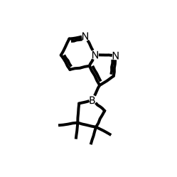 CC1(C)CB(c2cnn3ncccc23)CC1(C)C